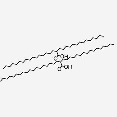 CCCCCCCCCCCCCCCCC(CCCCCCCCCCCCCC)C(=O)O.CCCCCCCCCCCCCCCCCCC(CCCCCCCCCCCCCCCC)C(=O)O